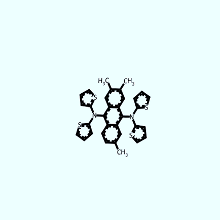 Cc1ccc2c(N(c3cccs3)c3cccs3)c3cc(C)c(C)cc3c(N(c3cccs3)c3cccs3)c2c1